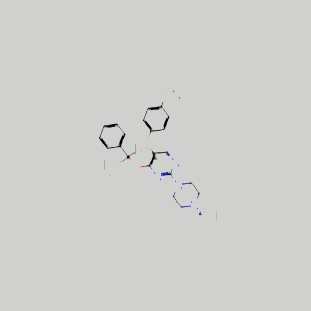 BC(B)(Oc1nc(N2CCN(C)CC2)ncc1Sc1ccc(C#N)cc1)c1ccccc1